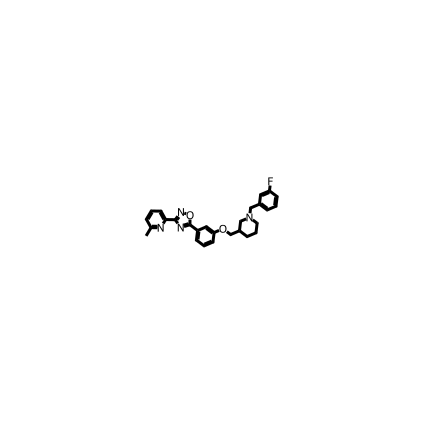 Cc1cccc(-c2noc(-c3cccc(OCC4CCCN(Cc5cccc(F)c5)C4)c3)n2)n1